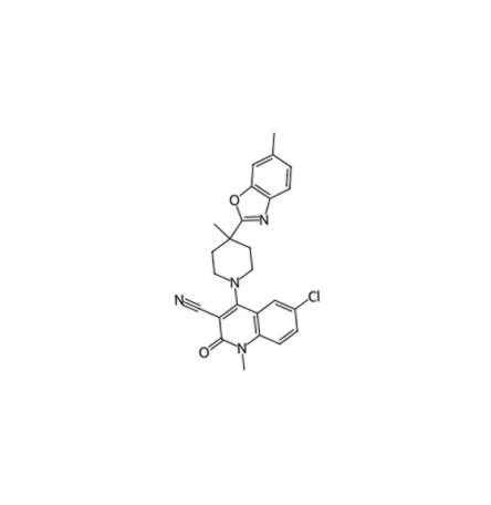 Cc1ccc2nc(C3(C)CCN(c4c(C#N)c(=O)n(C)c5ccc(Cl)cc45)CC3)oc2c1